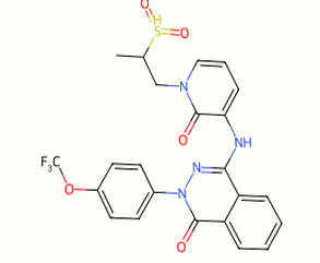 CC(Cn1cccc(Nc2nn(-c3ccc(OC(F)(F)F)cc3)c(=O)c3ccccc23)c1=O)[SH](=O)=O